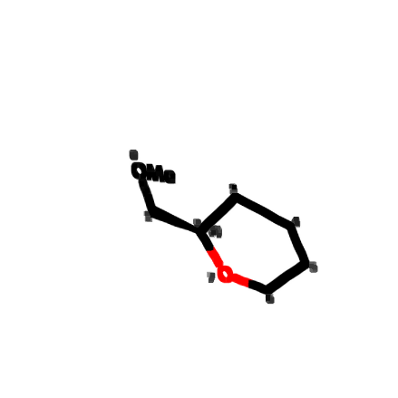 COC[C@H]1CCCCO1